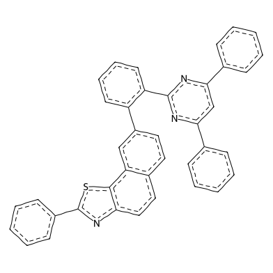 c1ccc(-c2cc(-c3ccccc3)nc(-c3ccccc3-c3ccc4ccc5nc(-c6ccccc6)sc5c4c3)n2)cc1